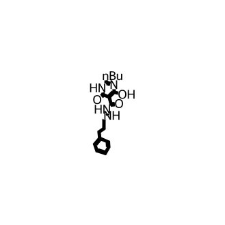 CCCCc1nc(O)c(C(=O)NNCCCc2ccccc2)c(=O)[nH]1